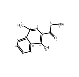 CCCCOC(=O)c1nc(C)c2ccccc2c1O